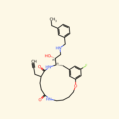 C#CCC1CCC(=O)NCCCCOc2cc(F)cc(c2)C[C@@H]([C@H](O)CNCc2cccc(CC)c2)NC1=O